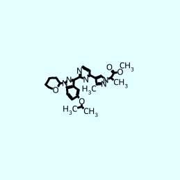 COC(=O)C(C)n1cc(-c2ccnc(-c3nn(C4CCCCO4)c4ccc(OC(C)C)cc34)n2)c(C)n1